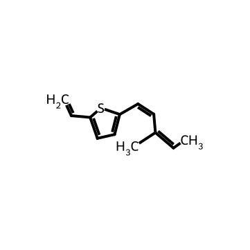 C=Cc1ccc(/C=C\C(C)=C/C)s1